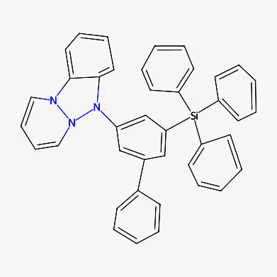 C1=CN2c3ccccc3N(c3cc(-c4ccccc4)cc([Si](c4ccccc4)(c4ccccc4)c4ccccc4)c3)N2C=C1